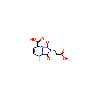 CC1C=CC(C(=O)O)n2c(=O)n(CCC(=O)O)c(=O)n21